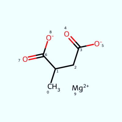 CC(CC(=O)[O-])C(=O)[O-].[Mg+2]